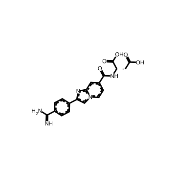 N=C(N)c1ccc(-c2cn3ccc(C(=O)N[C@@H](CC(=O)O)C(=O)O)cc3n2)cc1